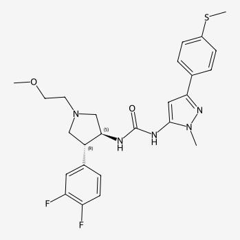 COCCN1C[C@@H](NC(=O)Nc2cc(-c3ccc(SC)cc3)nn2C)[C@H](c2ccc(F)c(F)c2)C1